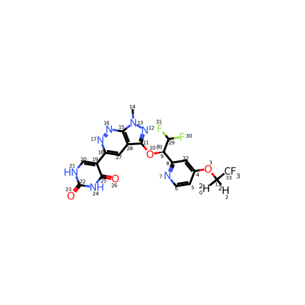 [2H]C([2H])(Oc1ccnc([C@@H](Oc2nn(C)c3nnc(-c4c[nH]c(=O)[nH]c4=O)cc23)C(F)F)c1)C(F)(F)F